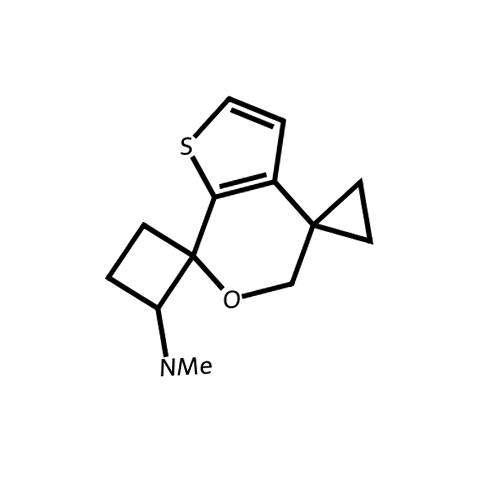 CNC1CCC12OCC1(CC1)c1ccsc12